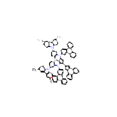 CC(C)(C)c1ccc2c(c1)c1cc(C(C)(C)C)ccc1n2-c1ccc2c(c1)N(c1ccc3c4ccccc4c4ccccc4c3c1)C1=CC(C3C=c4c(c5ccccc5c5ccccc45)=C3)C3=C1B2c1ccc(-n2c4ccc(C(C)(C)C)cc4c4cc(C(C)(C)C)ccc42)cc1N3c1ccc2c3ccccc3c3ccccc3c2c1